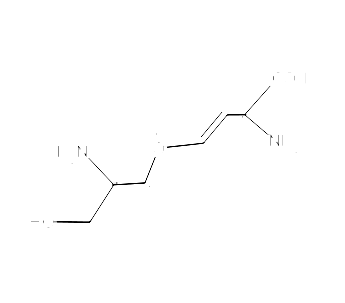 NC(CO)COC=CC(N)C(=O)O